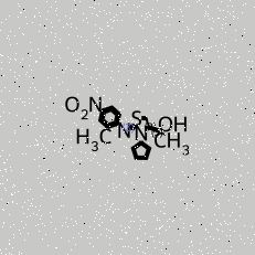 Cc1cc([N+](=O)[O-])ccc1/N=C1\SC[C@@H]([C@H](C)O)N1C1CCCC1